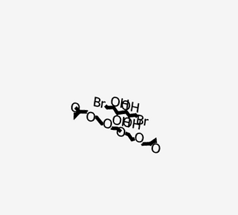 C(COCCOCC1CO1)OCCOCC1CO1.O[C@@H]([C@H](O)[C@H](O)CBr)[C@H](O)CBr